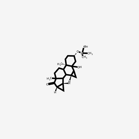 CC12CCC3C(C1[C@@H]1C[C@@H]1C2=O)[C@H]1C[C@H]1C1(O)C[C@@H](O[Si](C)(C)C(C)(C)C)CC[C@]31C